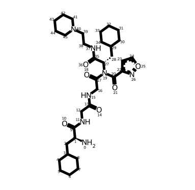 N[C@@H](CC1CCCCC1)C(=O)NCC(=O)NCC(=O)N(C(=O)c1ccon1)[C@@H](CC1CCCCC1)C(=O)NCCN1CCCCC1